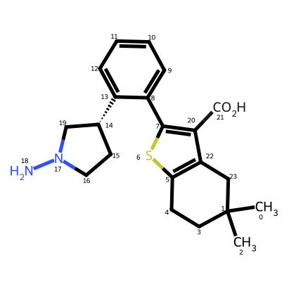 CC1(C)CCc2sc(-c3ccccc3[C@@H]3CCN(N)C3)c(C(=O)O)c2C1